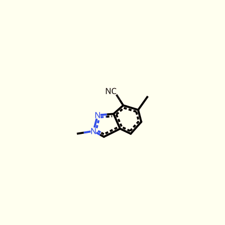 Cc1ccc2cn(C)nc2c1C#N